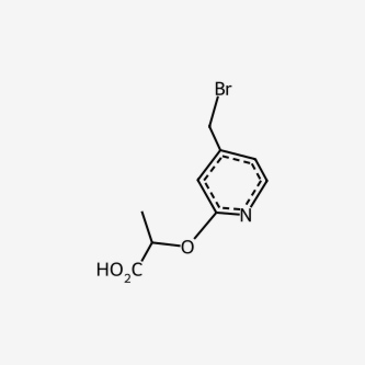 CC(Oc1cc(CBr)ccn1)C(=O)O